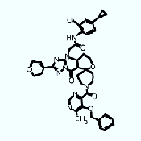 Cc1ncnc(C(=O)N2CCC3(CC2)OCCc2c3c(=O)n3nc(C4=CCOCC4)nc3n2CC(=O)Nc2ccc(C3CC3)cc2Cl)c1OCc1ccccc1